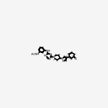 CC(=O)Nc1cccc(Nc2ncnc(N3CCC(n4cc(C5=CC(=S)CC=C5)cn4)CC3)n2)c1